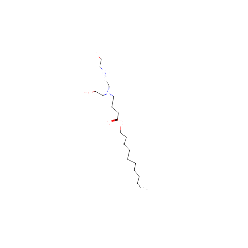 CCCCCCCCCCOC(=O)CCCN(CCO)CCNCCO